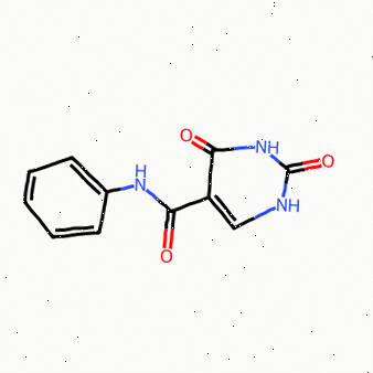 O=C(Nc1ccccc1)c1c[nH]c(=O)[nH]c1=O